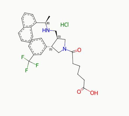 C[C@@H](NC[C@H]1CN(C(=O)CCCCC(=O)O)C[C@@H]1c1cccc(C(F)(F)F)c1)c1cccc2ccccc12.Cl